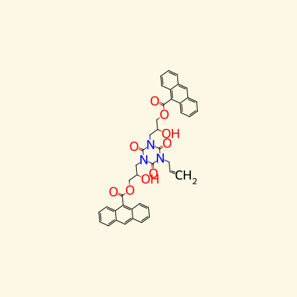 C=CCn1c(=O)n(CC(O)COC(=O)c2c3ccccc3cc3ccccc23)c(=O)n(CC(O)COC(=O)c2c3ccccc3cc3ccccc23)c1=O